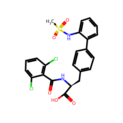 CS(=O)(=O)Nc1ccccc1-c1ccc(C[C@H](NC(=O)c2c(Cl)cccc2Cl)C(=O)O)cc1